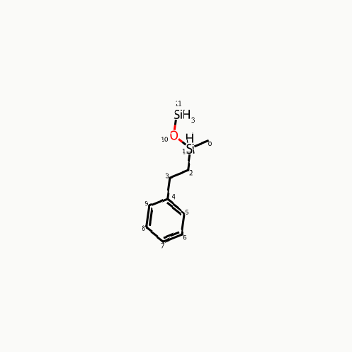 C[SiH](CCc1ccccc1)O[SiH3]